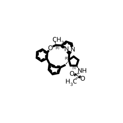 C[C@H]1Oc2ccccc2-c2cccc(c2)C[C@@]2(CC[C@H](NS(C)(=O)=O)C2)c2nccc1n2